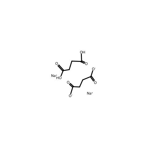 O=C(O)CCC(=O)O.O=C([O-])CCC(=O)[O-].[Na+].[Na+]